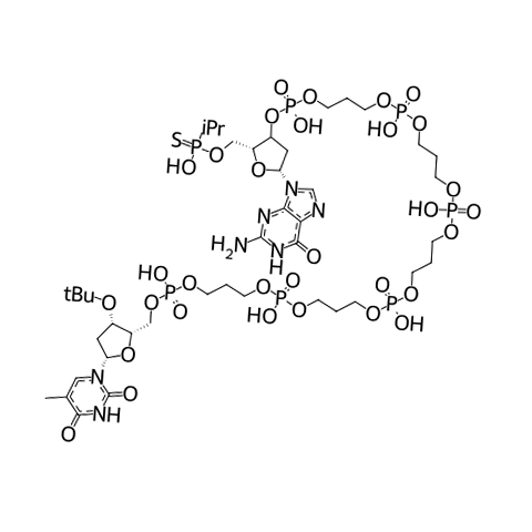 Cc1cn([C@@H]2C[C@H](OC(C)(C)C)[C@H](COP(=O)(O)OCCCOP(=O)(O)OCCCOP(=O)(O)OCCCOP(=O)(O)OCCCOP(=O)(O)OCCCOP(=O)(O)OC3C[C@H](n4cnc5c(=O)[nH]c(N)nc54)O[C@@H]3COP(O)(=S)C(C)C)O2)c(=O)[nH]c1=O